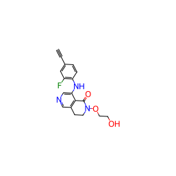 C#Cc1ccc(Nc2cncc3c2C(=O)N(OCCO)CC3)c(F)c1